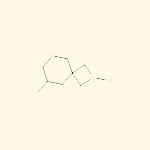 NN1CC2(CCCC(I)C2)C1